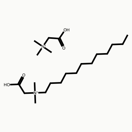 CCCCCCCCCCCC[N+](C)(C)CC(=O)O.C[N+](C)(C)CC(=O)O